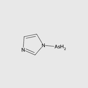 [AsH2]n1ccnc1